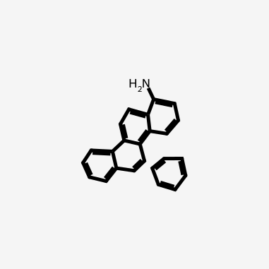 Nc1cccc2c1ccc1c3ccccc3ccc21.c1ccccc1